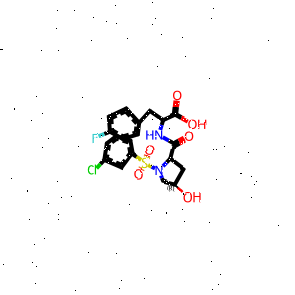 O=C(O)C(Cc1ccc(F)cc1)NC(=O)C1C[C@@H](O)CN1S(=O)(=O)c1cccc(Cl)c1